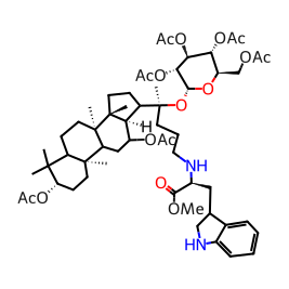 COC(=O)[C@H](CC1CNc2ccccc21)NCCC[C@](C)(O[C@H]1O[C@H](COC(C)=O)[C@@H](OC(C)=O)[C@H](OC(C)=O)[C@H]1OC(C)=O)C1CC[C@]2(C)[C@@H]1C(OC(C)=O)CC1[C@@]3(C)CC[C@H](OC(C)=O)C(C)(C)C3CC[C@]12C